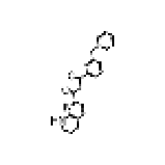 O=C(CC(=O)c1ccc2c(n1)NCCC2)c1cccc(Cc2ccccc2)c1